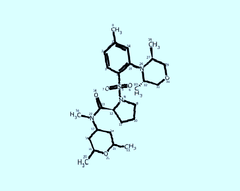 Cc1ccc(S(=O)(=O)N2CCC[C@H]2C(=O)N(C)C2CC(C)OC(C)C2)c(N2[C@@H](C)COC[C@@H]2C)c1